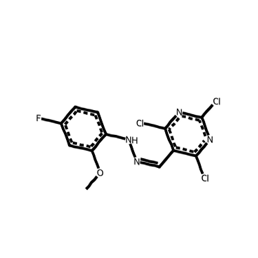 COc1cc(F)ccc1N/N=C\c1c(Cl)nc(Cl)nc1Cl